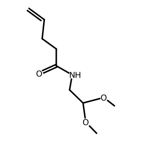 C=CCCC(=O)NCC(OC)OC